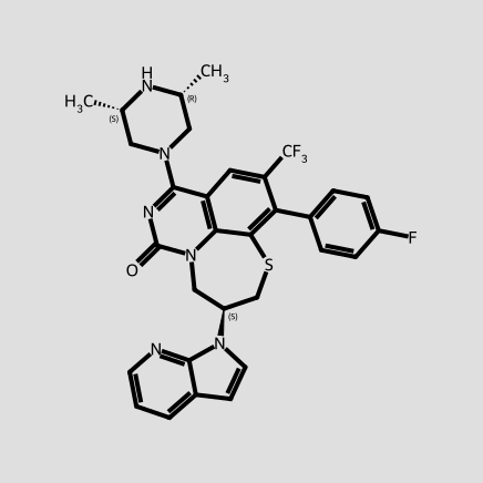 C[C@@H]1CN(c2nc(=O)n3c4c(c(-c5ccc(F)cc5)c(C(F)(F)F)cc24)SC[C@@H](n2ccc4cccnc42)C3)C[C@H](C)N1